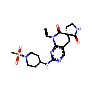 C=CN1C(=O)[C@]2(CCNC2=O)Cc2cnc(NC3CCN(S(C)(=O)=O)CC3)nc21